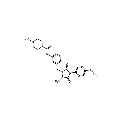 CC1C(=O)N(c2ccc(SC(F)(F)F)cc2)C(=O)N1Cc1ccnc(NC(=O)C2CCN(C)CC2)c1